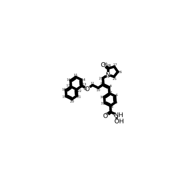 O=C(NO)c1ccc(C=C(CCOc2cccc3ccccc23)CN2CCCC2=O)cc1